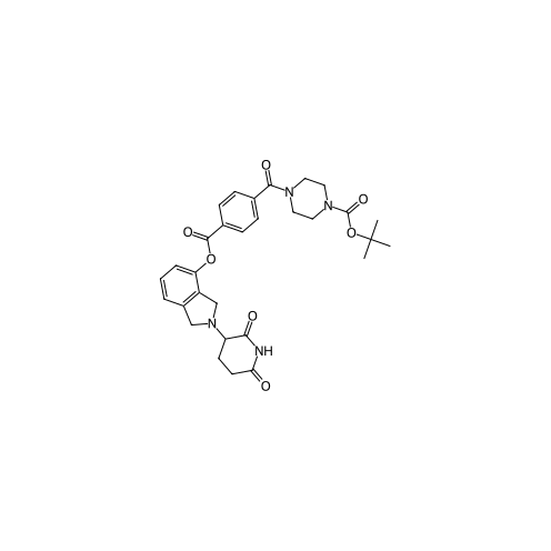 CC(C)(C)OC(=O)N1CCN(C(=O)c2ccc(C(=O)Oc3cccc4c3CN(C3CCC(=O)NC3=O)C4)cc2)CC1